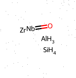 [AlH3].[O]=[Nb].[SiH4].[Zr]